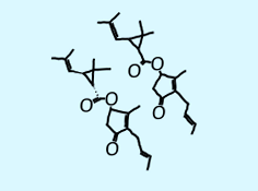 C/C=C/CC1=C(C)C(OC(=O)C2C(C=C(C)C)C2(C)C)CC1=O.C/C=C/CC1=C(C)[C@@H](OC(=O)[C@@H]2[C@@H](C=C(C)C)C2(C)C)CC1=O